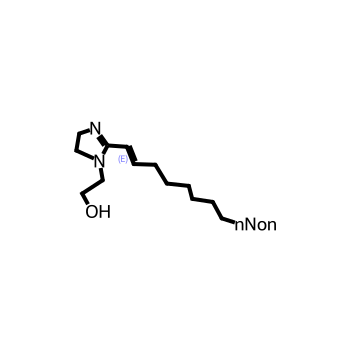 CCCCCCCCCCCCCCC/C=C/C1=NCCN1CCO